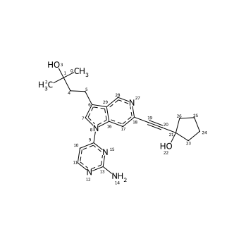 CC(C)(O)CCc1cn(-c2ccnc(N)n2)c2cc(C#CC3(O)CCCC3)ncc12